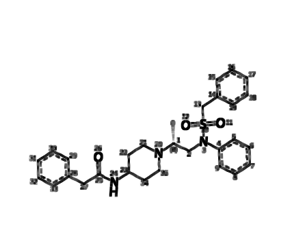 C[C@H](CN(c1ccccc1)S(=O)(=O)Cc1ccccc1)N1CCC(NC(=O)Cc2ccccc2)CC1